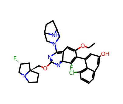 CCOc1cc2c(N3CC4CCC(C3)N4)nc(OC[C@@]34CCCN3C[C@H](F)C4)nc2c(F)c1-c1cc(O)cc2cccc(Cl)c12